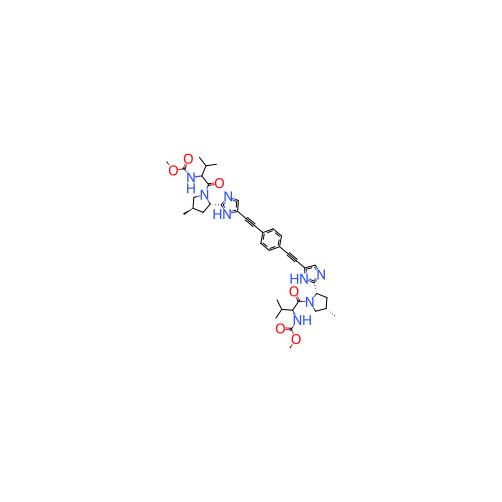 COC(=O)N[C@H](C(=O)N1C[C@H](C)C[C@H]1c1ncc(C#Cc2ccc(C#Cc3cnc([C@@H]4C[C@H](C)CN4C(=O)[C@@H](NC(=O)OC)C(C)C)[nH]3)cc2)[nH]1)C(C)C